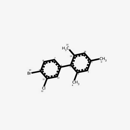 Cc1cc(C)c(-c2ccc(Br)c(Cl)c2)c(C)c1